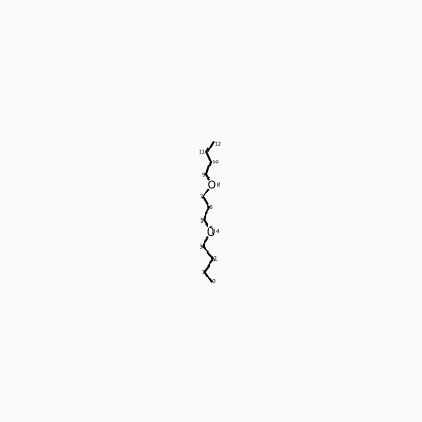 CCCCOC[CH]COCCCC